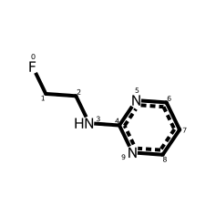 FCCNc1ncccn1